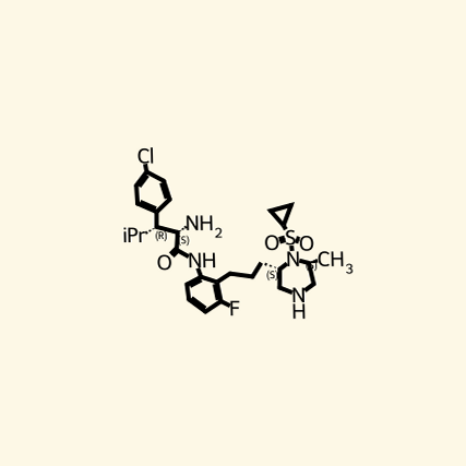 CC(C)[C@H](c1ccc(Cl)cc1)[C@H](N)C(=O)Nc1cccc(F)c1CCC[C@H]1CNC[C@H](C)N1S(=O)(=O)C1CC1